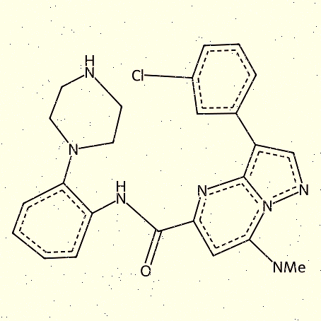 CNc1cc(C(=O)Nc2ccccc2N2CCNCC2)nc2c(-c3cccc(Cl)c3)cnn12